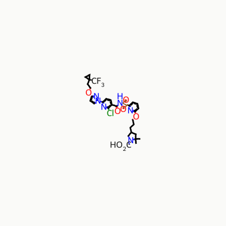 CC1(C)CC(CCCOc2cccc(S(=O)(=O)NC(=O)c3ccc(-n4ccc(OCCC5(C(F)(F)F)CC5)n4)nc3Cl)n2)CN1C(=O)O